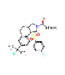 CCCCCC(=O)N1CC2CCc3cc(C(F)(C(F)(F)F)C(F)(F)F)ccc3C2(S(=O)(=O)c2ccc(F)cc2)C1